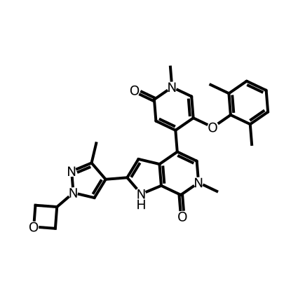 Cc1cccc(C)c1Oc1cn(C)c(=O)cc1-c1cn(C)c(=O)c2[nH]c(-c3cn(C4COC4)nc3C)cc12